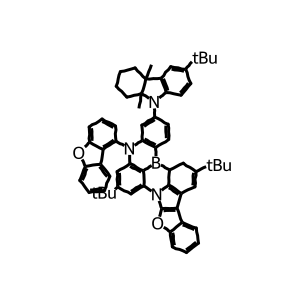 CC(C)(C)C1=Cc2c3n(c4oc5ccccc5c24)-c2cc(C(C)(C)C)cc4c2B(c2ccc(N5c6ccc(C(C)(C)C)cc6C6(C)CCCCC56C)cc2N4c2cccc4oc5ccccc5c24)C3C1